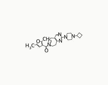 Cc1cc(C(=O)N2CCc3cnc(N4CCN(C5CCC5)CC4)nc3CC2)c(C)o1